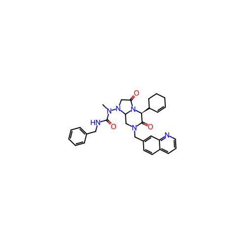 CN(C(=O)NCc1ccccc1)N1CC(=O)N2C1CN(Cc1ccc3cccnc3c1)C(=O)[C@@H]2C1C=CCCC1